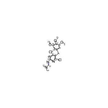 COc1cc(Cc2c(Cl)nc(/N=C/N(C)C)nc2Cl)cc(OC)c1OC